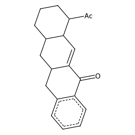 CC(=O)C1CCCC2CC3Cc4ccccc4C(=O)C3=CC21